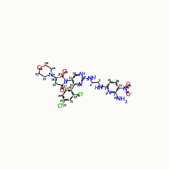 Nc1nc(NCCNc2ncc(N3C(=O)CC(N4CCOCC4)C3=O)c(-c3ccc(Cl)cc3Cl)n2)ccc1[N+](=O)[O-]